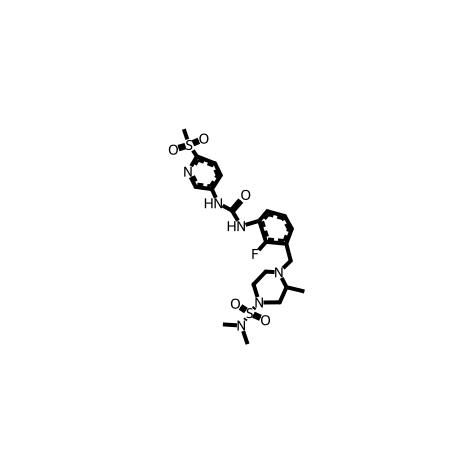 CC1CN(S(=O)(=O)N(C)C)CCN1Cc1cccc(NC(=O)Nc2ccc(S(C)(=O)=O)nc2)c1F